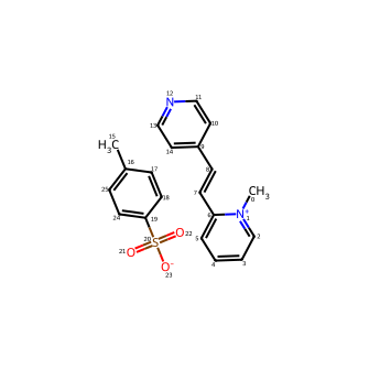 C[n+]1ccccc1C=Cc1ccncc1.Cc1ccc(S(=O)(=O)[O-])cc1